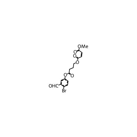 COC(=O)/C=C\C(=O)OCCCC(=O)Oc1ccc(Br)c(C=O)c1